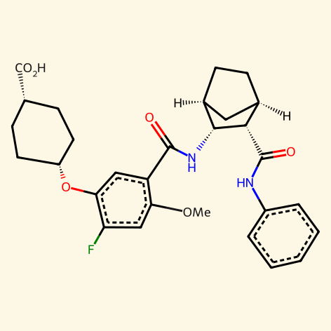 COc1cc(F)c(O[C@H]2CC[C@@H](C(=O)O)CC2)cc1C(=O)N[C@@H]1[C@H]2CC[C@H](C2)[C@@H]1C(=O)Nc1ccccc1